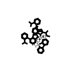 CCC(C)C1=Cc2c(-c3ccccc3C(C)C)cccc2[CH]1[Zr]([Cl])([Cl])([c]1cccc2c1[SiH2]c1ccccc1-2)[CH]1C(C(C)CC)=Cc2c(-c3ccccc3C(C)C)cccc21